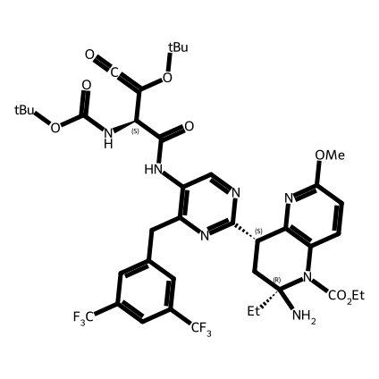 CCOC(=O)N1c2ccc(OC)nc2[C@@H](c2ncc(NC(=O)[C@@H](NC(=O)OC(C)(C)C)C(=C=O)OC(C)(C)C)c(Cc3cc(C(F)(F)F)cc(C(F)(F)F)c3)n2)C[C@@]1(N)CC